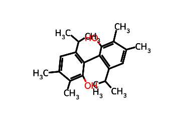 Cc1cc(C(C)C)c(-c2c(C(C)C)cc(C)c(C)c2O)c(O)c1C